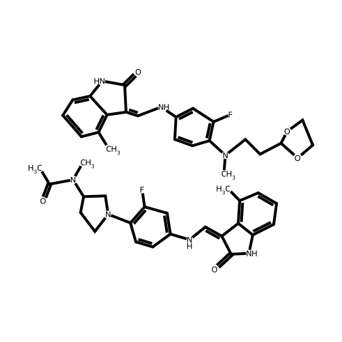 CC(=O)N(C)C1CCN(c2ccc(NC=C3C(=O)Nc4cccc(C)c43)cc2F)C1.Cc1cccc2c1C(=CNc1ccc(N(C)CCC3OCCO3)c(F)c1)C(=O)N2